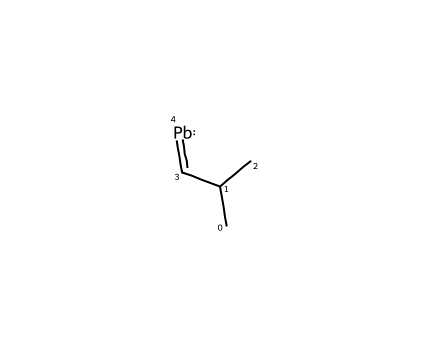 CC(C)[CH]=[Pb]